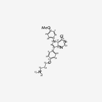 COc1ccc(-n2cc(-c3ccc(OCCCN(C)C)cc3)c3ncnc(Cl)c32)cc1